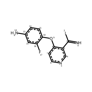 N=C(I)c1cnccc1Oc1ccc(N)cc1F